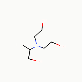 CC(CO)N(CCO)CCO